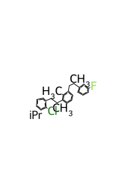 Cc1c(CC(C)c2cccc(F)c2)cccc1C(C)Cc1cccc(C(C)C)c1Cl